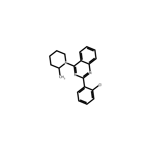 CC1CCCCN1c1nc(-c2ccccc2Cl)nc2ccccc12